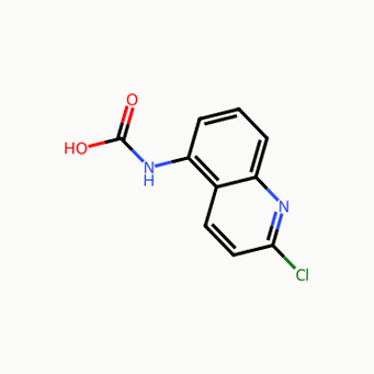 O=C(O)Nc1cccc2nc(Cl)ccc12